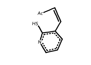 CC(=O)/C=C\c1cccnc1S